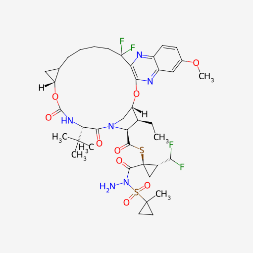 CC[C@@H]1[C@@H]2CN(C(=O)[C@H](C(C)(C)C)NC(=O)O[C@@H]3CC3CCCCC(F)(F)c3nc4ccc(OC)cc4nc3O2)[C@@H]1C(=O)S[C@]1(C(=O)N(N)S(=O)(=O)C2(C)CC2)C[C@H]1C(F)F